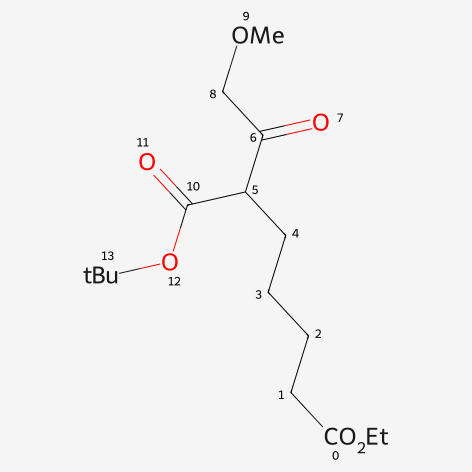 CCOC(=O)CCCCC(C(=O)COC)C(=O)OC(C)(C)C